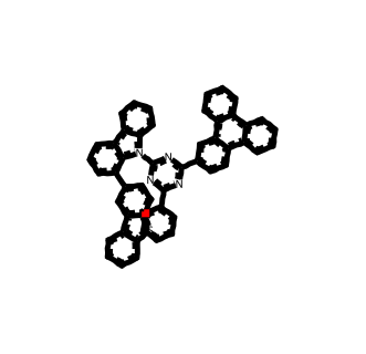 c1ccc(-c2nc(-c3ccc4c5ccccc5c5ccccc5c4c3)nc(-n3c4ccccc4c4cccc(-c5ccc6sc7ccccc7c6c5)c43)n2)cc1